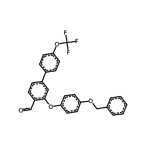 O=Cc1ccc(-c2ccc(OC(F)(F)F)cc2)cc1Oc1ccc(OCc2ccccc2)cc1